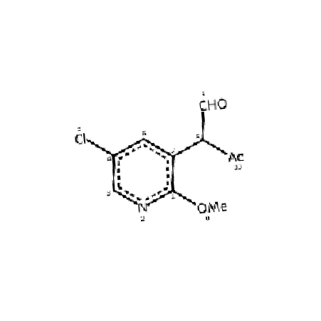 COc1ncc(Cl)cc1C(C=O)C(C)=O